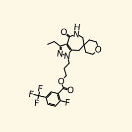 CCc1nn(CCCOC(=O)c2cc(C(F)(F)F)ccc2F)c2c1C(=O)NCC1(CCOCC1)C2